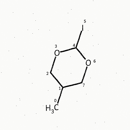 CC1COC(I)OC1